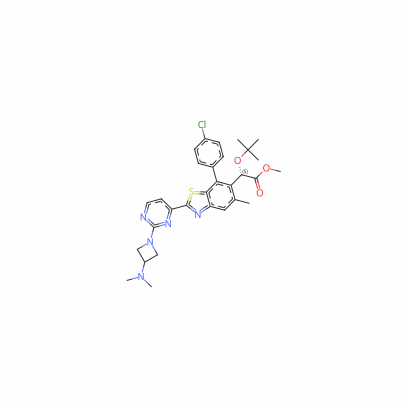 COC(=O)[C@@H](OC(C)(C)C)c1c(C)cc2nc(-c3ccnc(N4CC(N(C)C)C4)n3)sc2c1-c1ccc(Cl)cc1